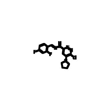 Fc1ccc(C=NNc2cc(N3CCCC3)c(Cl)nn2)c(F)c1